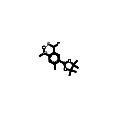 Cc1cc([S+](C)[O-])c(C(F)F)cc1B1OC(C)(C)C(C)(C)O1